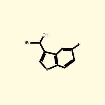 CC(C)(C)C(O)c1csc2ccc(F)cc12